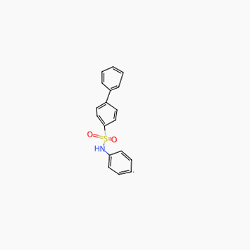 O=S(=O)(Nc1cc[c]cc1)c1ccc(-c2ccccc2)cc1